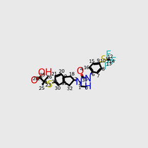 CCN(C(=O)Nc1ccc(SC(F)(F)F)cc1)C1Cc2ccc(SC(C)(C)C(=O)O)cc2C1